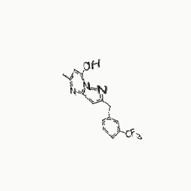 Cc1cc(O)n2nc(Cc3cccc(C(F)(F)F)c3)cc2n1